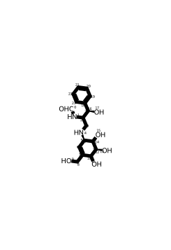 O=CNC(CN[C@@H]1C=C(CO)C(O)[C@H](O)C1O)[C@H](O)c1ccccc1